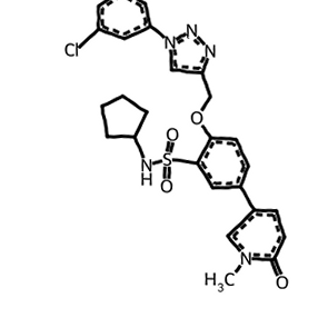 Cn1cc(-c2ccc(OCc3cn(-c4cccc(Cl)c4)nn3)c(S(=O)(=O)NC3CCCC3)c2)ccc1=O